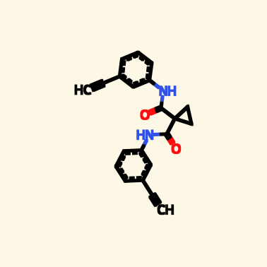 C#Cc1cccc(NC(=O)C2(C(=O)Nc3cccc(C#C)c3)CC2)c1